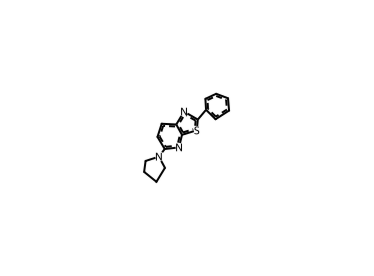 c1ccc(-c2nc3ccc(N4CCCC4)nc3s2)cc1